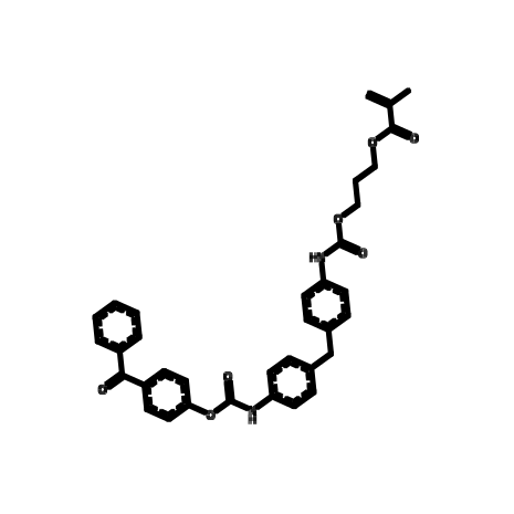 C=C(C)C(=O)OCCCOC(=O)Nc1ccc(Cc2ccc(NC(=O)Oc3ccc(C(=O)c4ccccc4)cc3)cc2)cc1